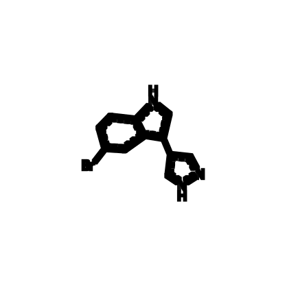 Brc1ccc2[nH]cc(-c3cn[nH]c3)c2c1